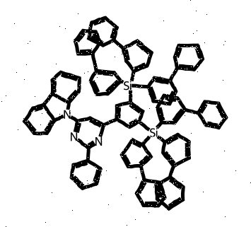 c1ccc(-c2cccc([Si](c3cccc(-c4ccccc4)c3)(c3cccc(-c4ccccc4)c3)c3cc(-c4cc(-n5c6ccccc6c6ccccc65)nc(-c5ccccc5)n4)cc([Si](c4cccc(-c5ccccc5)c4)(c4cccc(-c5ccccc5)c4)c4cccc(-c5ccccc5)c4)c3)c2)cc1